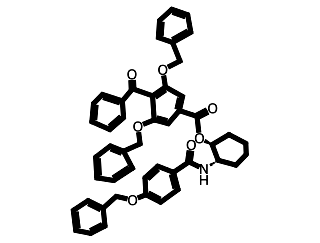 O=C(N[C@H]1CCCC[C@@H]1OC(=O)c1cc(OCc2ccccc2)c(C(=O)c2ccccc2)c(OCc2ccccc2)c1)c1ccc(OCc2ccccc2)cc1